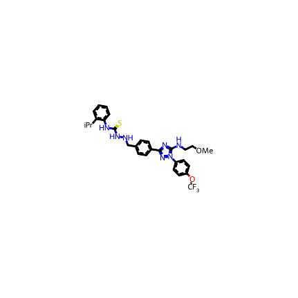 COCCNc1nc(-c2ccc(CNNC(=S)Nc3ccccc3C(C)C)cc2)nn1-c1ccc(OC(F)(F)F)cc1